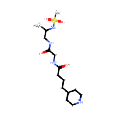 CCCCS(=O)(=O)NC(CNC(=O)CNC(=O)CCCC1CCNCC1)C(=O)O